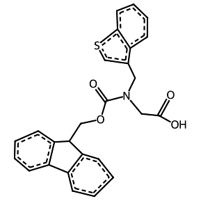 O=C(O)CN(Cc1csc2ccccc12)C(=O)OCC1c2ccccc2-c2ccccc21